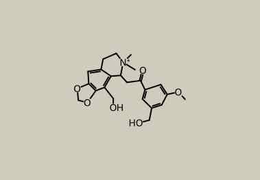 COc1cc(CO)cc(C(=O)CC2c3c(cc4c(c3CO)OCO4)CC[N+]2(C)C)c1